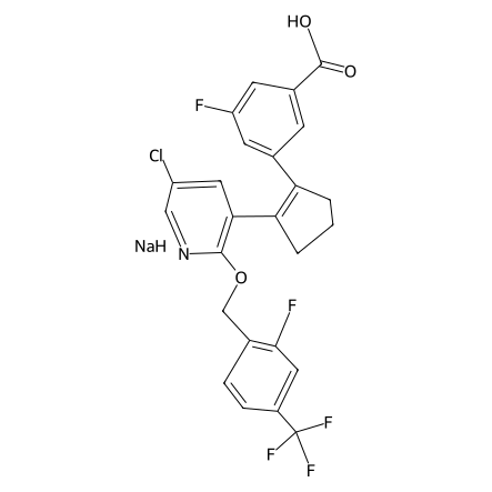 O=C(O)c1cc(F)cc(C2=C(c3cc(Cl)cnc3OCc3ccc(C(F)(F)F)cc3F)CCC2)c1.[NaH]